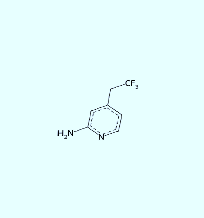 Nc1cc(CC(F)(F)F)ccn1